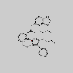 CCCC[C@H](c1c(-c2ccccc2)nc(-c2ccccc2)n1CCCC)N(Cc1ccc2c(c1)OCO2)CC1CCCCC1